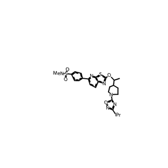 CNS(=O)(=O)c1ccc(-c2ccc3nc(OC(C)C4CCN(c5nc(C(C)C)no5)CC4)sc3n2)cc1